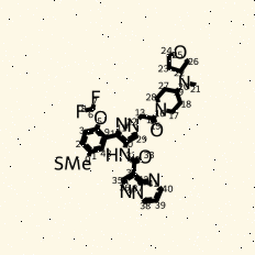 CSc1ccc(OC(F)F)c(-c2nn(CC(=O)N3CCC(N(C)[C@@H]4CCOC4)CC3)cc2NC(=O)c2cnn3cccnc23)c1